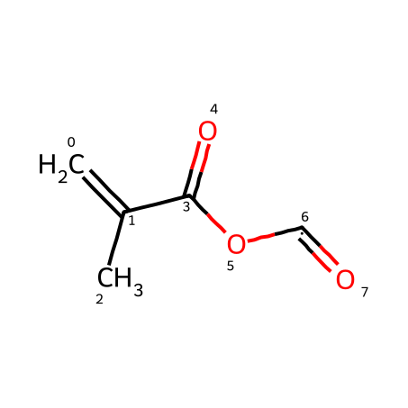 C=C(C)C(=O)O[C]=O